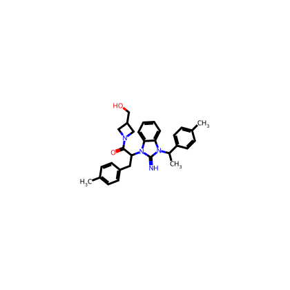 Cc1ccc(CC(C(=O)N2CC(CO)C2)n2c(=N)n(C(C)c3ccc(C)cc3)c3ccccc32)cc1